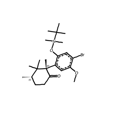 COc1cc([C@]2(C)C(=O)CC[C@H](C)C2(C)C)c(O[Si](C)(C)C(C)(C)C)cc1Br